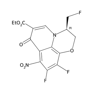 CCOC(=O)c1cn2c3c(c(F)c(F)c([N+](=O)[O-])c3c1=O)OC[C@@H]2CF